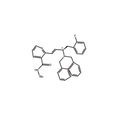 CC(C)(C)NC(=O)c1cccnc1C=C[C@@H](Cc1ccccc1F)N(Cc1ccccc1)Cc1ccccc1